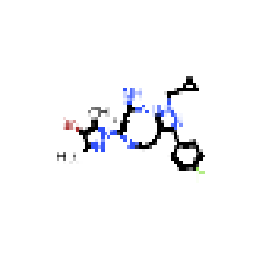 Cc1nn(C2=C/C(=N)Nc3c(c(-c4ccc(F)cc4)nn3CC3CC3)C/C=N\2)c(C)c1Br